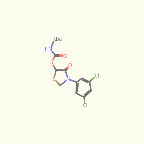 CC(C)(C)NC(=O)OC1SCN(c2cc(Cl)cc(Cl)c2)C1=O